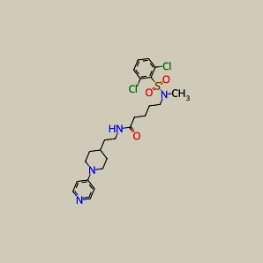 CN(CCCCC(=O)NCCC1CCN(c2ccncc2)CC1)S(=O)(=O)c1c(Cl)cccc1Cl